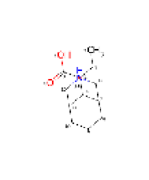 CCC(C(=O)O)C1C2CCCC1CNC2